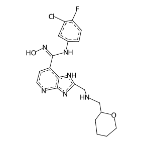 O/N=C(/Nc1ccc(F)c(Cl)c1)c1ccnc2nc(CNCC3CCCCO3)[nH]c12